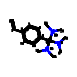 C=Cc1ccc([Si](N(C)C)(N(C)C)N(C)C)cc1